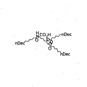 CCCCCCCCCCCCCCCC(=O)NC(CCCC(COC(=O)CCCCCCCCCCCCCCC)OC(=O)CCCCCCCCCCCCCCC)C(=O)O